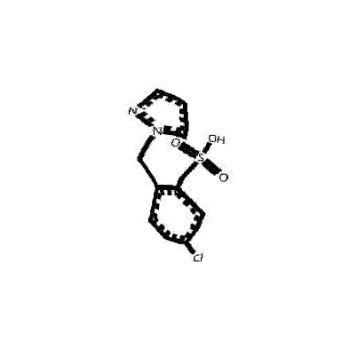 O=S(=O)(O)c1cc(Cl)ccc1Cn1cccn1